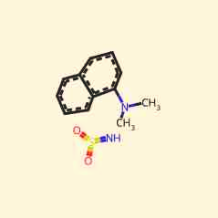 CN(C)c1cccc2ccccc12.N=S(=O)=O